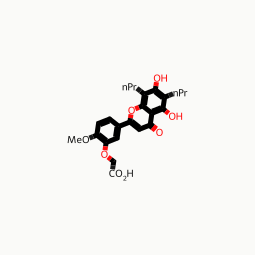 CCCc1c(O)c(CCC)c2oc(-c3ccc(OC)c(OCC(=O)O)c3)cc(=O)c2c1O